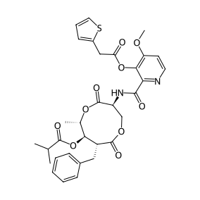 COc1ccnc(C(=O)N[C@H]2COC(=O)[C@H](Cc3ccccc3)[C@@H](OC(=O)C(C)C)[C@H](C)OC2=O)c1OC(=O)Cc1cccs1